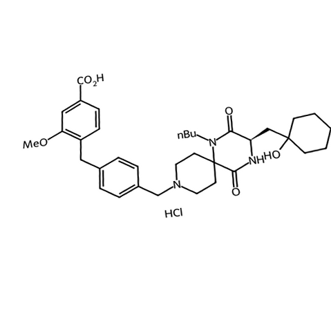 CCCCN1C(=O)[C@@H](CC2(O)CCCCC2)NC(=O)C12CCN(Cc1ccc(Cc3ccc(C(=O)O)cc3OC)cc1)CC2.Cl